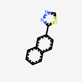 c1ccc2cc(-c3nncs3)ccc2c1